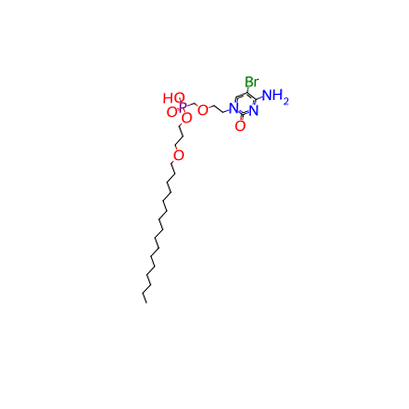 CCCCCCCCCCCCCCCCOCCCOP(=O)(O)COCCn1cc(Br)c(N)nc1=O